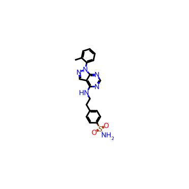 Cc1ccccc1-n1ncc2c(NCCc3ccc(S(N)(=O)=O)cc3)ncnc21